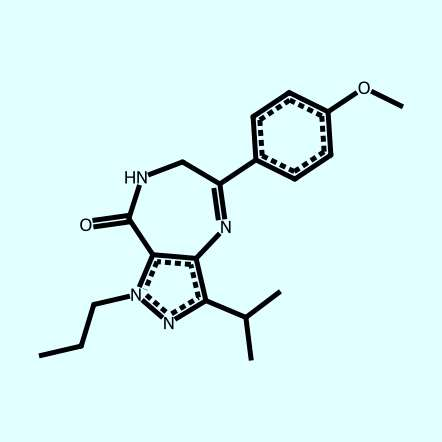 CCCn1nc(C(C)C)c2c1C(=O)NCC(c1ccc(OC)cc1)=N2